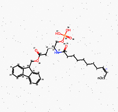 CCCCCCCC/C=C\CCCCCCCC(=O)N[C@H](CCC(=O)OCC1c2ccccc2-c2ccccc21)COP(=O)(O)O